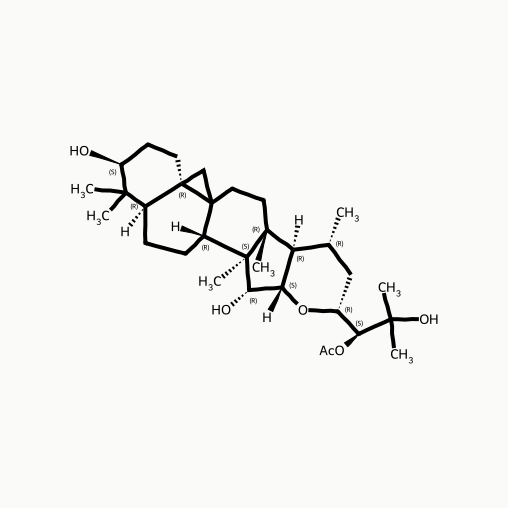 CC(=O)O[C@@H]([C@H]1C[C@@H](C)[C@H]2[C@H](O1)[C@H](O)[C@@]1(C)[C@@H]3CC[C@H]4C(C)(C)[C@@H](O)CC[C@@]45CC35CC[C@]21C)C(C)(C)O